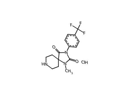 CN1C(=O)N(c2ccc(C(F)(F)F)cc2)C(=O)C12CCNCC2.Cl